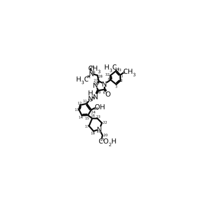 Cc1ccc(N2C(=O)C(=NNc3cccc(C4CCN(CC(=O)O)CC4)c3O)N=C2CN(C)C)cc1C